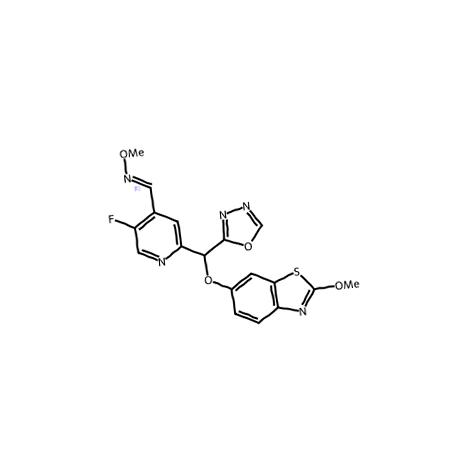 CO/N=C/c1cc(C(Oc2ccc3nc(OC)sc3c2)c2nnco2)ncc1F